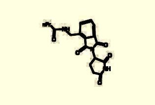 CCCC(=O)NCc1cccc2c1C(=O)N(C1CCC(=O)NC1=O)C2=O